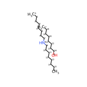 CCCCCCCCNCCCCCCCC.CCCCCCCCO